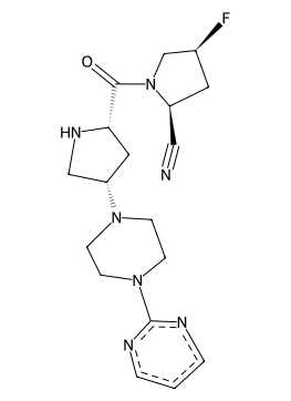 N#C[C@@H]1C[C@H](F)CN1C(=O)[C@@H]1C[C@H](N2CCN(c3ncccn3)CC2)CN1